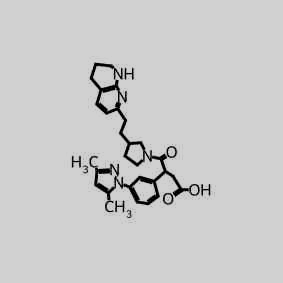 Cc1cc(C)n(-c2cccc(C(CC(=O)O)C(=O)N3CCC(CCc4ccc5c(n4)NCCC5)C3)c2)n1